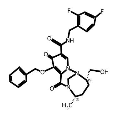 C[C@H]1CC[C@@H](CO)N2CN1C(=O)c1c(OCc3ccccc3)c(=O)c(C(=O)NCc3ccc(F)cc3F)cn12